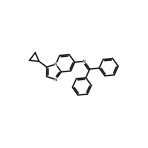 c1ccc(C(=Nc2ccn3c(C4CC4)cnc3c2)c2ccccc2)cc1